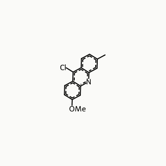 COc1ccc2c(Cl)c3ccc(C)cc3nc2c1